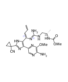 C=C/C=C(\N=C(/N)NC[C@H](C)NC(=O)OC)c1[nH]c(C2(C#N)CC2)nc1-c1cnc(N)c(OC)n1